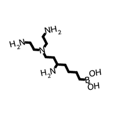 NCCN(CCN)CCC(N)CCCCB(O)O